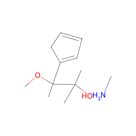 CN.COC(C)(C1=CC=CC1)C(C)(C)O